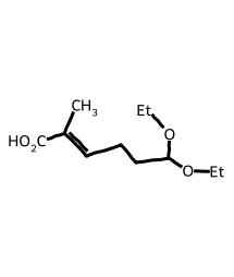 CCOC(CCC=C(C)C(=O)O)OCC